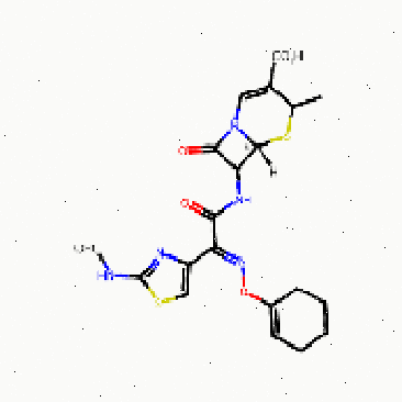 CC1S[C@@H]2C(NC(=O)C(=NOC3=CCCCC3)c3csc(NC=O)n3)C(=O)N2C=C1C(=O)O